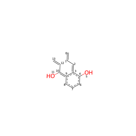 C=C/C=c1/c(O)ccc/c1=C(\O)C=C